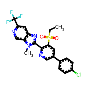 CCS(=O)(=O)c1cc(-c2ccc(Cl)cc2)cnc1-c1nc2cc(C(F)(F)F)ncc2n1C